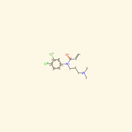 C=CC(=O)N(CCCN(C)C)c1ccc(Cl)c(Cl)c1